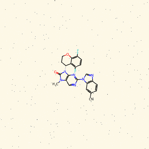 Cn1c(=O)n([C@@H]2CCOc3c(F)ccc(F)c32)c2nc(-n3cnc4ccc(C#N)cc43)ncc21